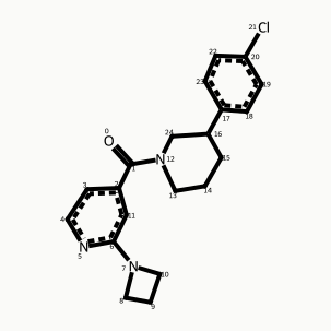 O=C(c1ccnc(N2CCC2)c1)N1CCCC(c2ccc(Cl)cc2)C1